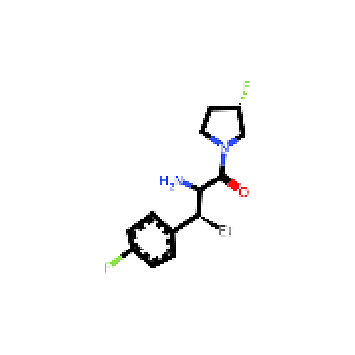 CC[C@@H](c1ccc(F)cc1)C(N)C(=O)N1CC[C@H](F)C1